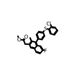 COC(=O)Cc1cc2ccc(F)cc2c(-c2ccc(Sc3ccccc3Cl)cc2)c1C